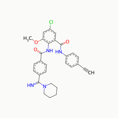 C#Cc1ccc(NC(=O)c2cc(Cl)cc(OC)c2NC(=O)c2ccc(C(=N)N3CCCCC3)cc2)cc1